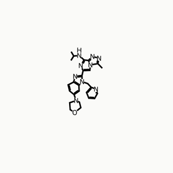 Cc1nnc2c(NC(C)C)nc(-c3nc4ccc(N5CCOCC5)cc4n3Cc3ccccn3)cn12